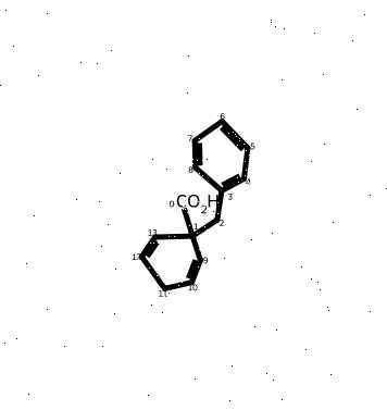 O=C(O)C1(Cc2ccccc2)C=CCC=C1